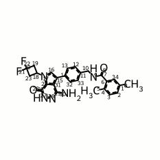 Cc1ccc(C)c(C(=O)NCc2ccc(-c3cn(C4CC(F)(F)C4)c4c(=O)[nH]nc(N)c34)cc2)c1